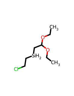 CCOC(C[SiH2]CCCl)OCC